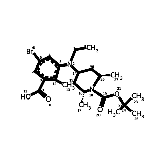 CCN(c1cc(Br)cc(C(=O)O)c1C)C1C[C@@H](C)N(C(=O)OC(C)(C)C)[C@H](C)C1